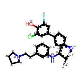 CC(=O)c1cnc2ccc(-c3cc(F)c(O)c(Cl)c3)cc2c1Nc1cccc(CCN2CCCC2)c1